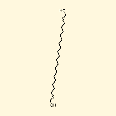 OCSCCCCCCCCCCCCCCCCCCSCO